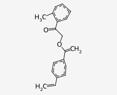 C=Cc1ccc(C(=C)OCC(=O)c2ccccc2C)cc1